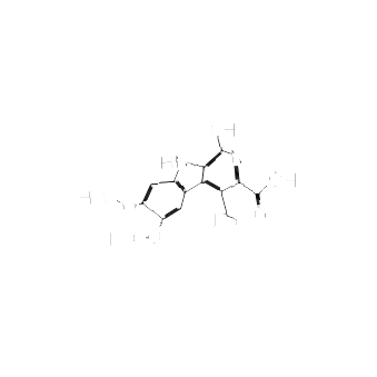 CCc1c(C(=O)O)nc(C)c2[nH]c3cc(OC)c(OC)cc3c12